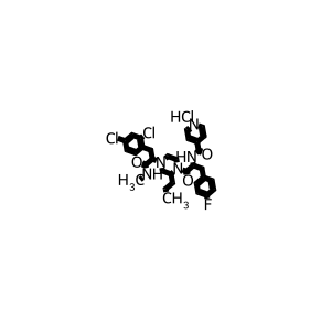 CCCC1CN(C(Cc2ccc(Cl)cc2Cl)C(=O)NC)CCN1C(=O)C(Cc1ccc(F)cc1)NC(=O)c1ccncc1.Cl